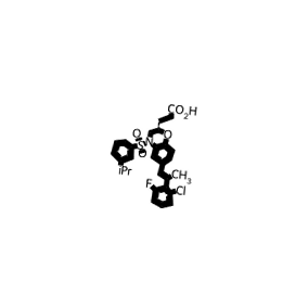 C/C(=C\c1ccc2c(c1)N(S(=O)(=O)c1cccc(C(C)C)c1)C[C@H](CCC(=O)O)O2)c1c(F)cccc1Cl